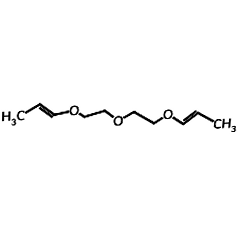 CC=COCCOCCOC=CC